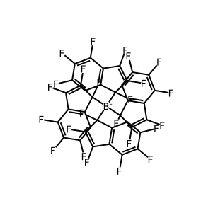 FC1=C(F)C(F)([B-](C2(F)C(F)=C(F)c3c2cc(F)c(F)c3F)(C2(F)C(F)=C(F)c3c2cc(F)c(F)c3F)C2(F)C(F)=C(F)c3c2cc(F)c(F)c3F)c2cc(F)c(F)c(F)c21